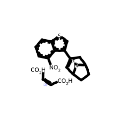 CCN1C2C=C(c3csc4cccc([N+](=O)[O-])c34)CC1CC2.O=C(O)/C=C\C(=O)O